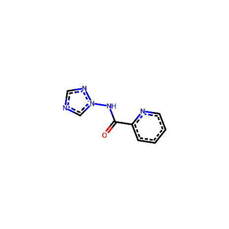 O=C(Nn1cncn1)c1ccccn1